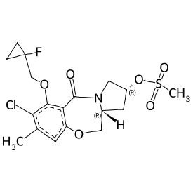 Cc1cc2c(c(OCC3(F)CC3)c1Cl)C(=O)N1C[C@H](OS(C)(=O)=O)C[C@@H]1CO2